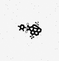 Cc1ccc(-n2c(=O)c3c4cc([Si](C)(C)C)c5ccc6ccc7c([Si](C)(C)C)cc(c3c2=O)c2c7c6c5c42)c(C)c1C